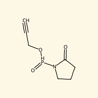 C#CCO[PH](=O)N1CCCC1=O